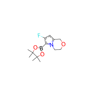 CC1(C)OB(c2c(F)cc3n2CCOC3)OC1(C)C